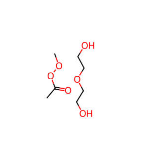 COOC(C)=O.OCCOCCO